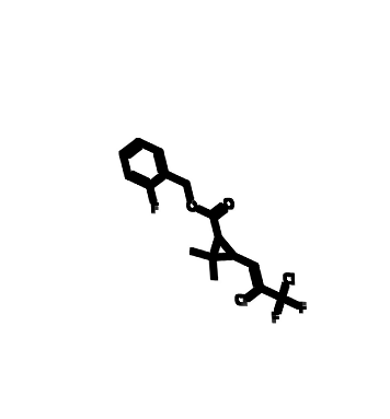 CC1(C)C(/C=C(\Cl)C(F)(F)Cl)C1C(=O)OCc1ccccc1F